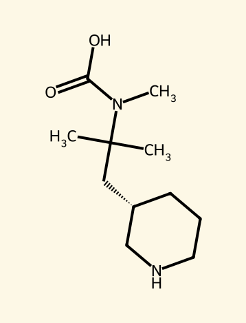 CN(C(=O)O)C(C)(C)C[C@@H]1CCCNC1